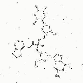 Cc1cn([C@H]2C[C@@H](O)[C@@H](COP(=O)(NCc3cccc4c3OCO4)O[C@@H]3C[C@H](n4cnc5c(=O)[nH]c(N)nc54)O[C@@H]3CO)O2)c(=O)[nH]c1=O